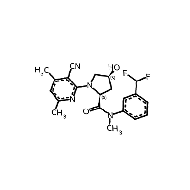 Cc1cc(C)c(C#N)c(N2C[C@@H](O)C[C@H]2C(=O)N(C)c2cccc(C(F)F)c2)n1